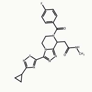 CNC(=O)CC1c2nnc(-c3nc(C4CC4)ns3)n2CCN1C(=O)c1ccc(F)cc1